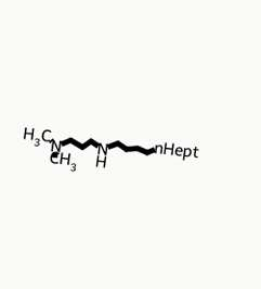 CCCCCCCCCCCNCCCN(C)C